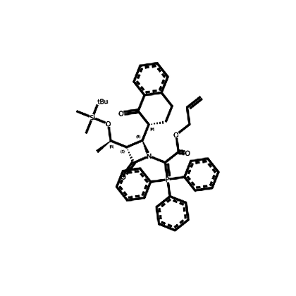 C=CCOC(=O)C(N1C(=O)[C@H]([C@@H](C)O[Si](C)(C)C(C)(C)C)[C@H]1[C@H]1CCc2ccccc2C1=O)=P(c1ccccc1)(c1ccccc1)c1ccccc1